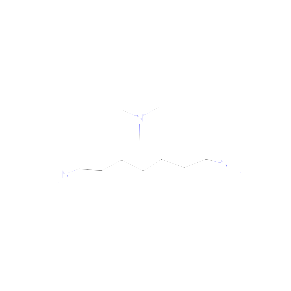 CN(C)C.NCCCCCCCN